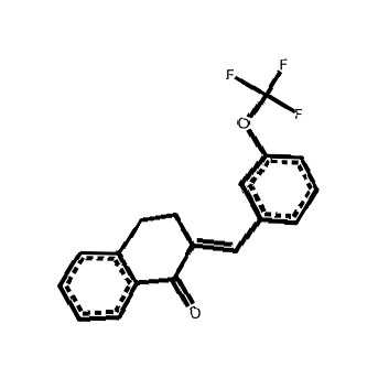 O=C1/C(=C/c2cccc(OC(F)(F)F)c2)CCc2ccccc21